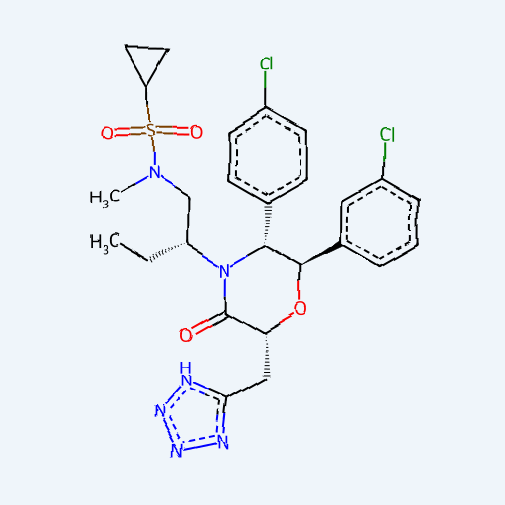 CC[C@H](CN(C)S(=O)(=O)C1CC1)N1C(=O)[C@@H](Cc2nnn[nH]2)O[C@H](c2cccc(Cl)c2)[C@H]1c1ccc(Cl)cc1